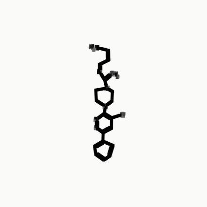 C=C(/N=C\C=C/N)N1CCN(c2nnc(-c3ccccc3)cc2Cl)CC1